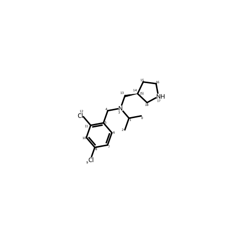 CC(C)N(Cc1ccc(Cl)cc1Cl)C[C@H]1CCNC1